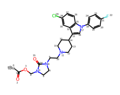 CC(C)(C)C(=O)OCN1CCN(CCN2CCC(c3cn(-c4ccc(F)cc4)c4ccc(Cl)cc34)CC2)C1=O